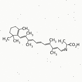 CC1=C(/C=C(C)/C(C)=C/C=C/C=C(C)/C(C)=C/C=N\[C@@H](C)C(=O)O)C(C)(C)CCC1